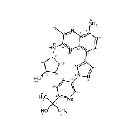 CCc1nc2c(N)ncc(-c3cnn(-c4cnc(C(C)(C)O)nc4)c3)c2nc1N[C@@H]1CC[C@@H](O)C1